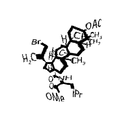 C=C(CBr)[C@@H]1CC[C@]2(C(=O)NC(CC(C)C)C(=O)OC)CC[C@]3(C)[C@H](CC[C@@H]4[C@@]5(C)CC[C@H](OC(C)=O)C(C)(C)[C@@H]5CC[C@]43C)[C@@H]12